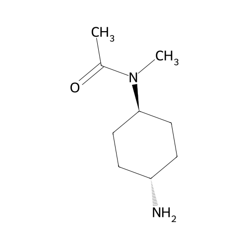 CC(=O)N(C)[C@H]1CC[C@H](N)CC1